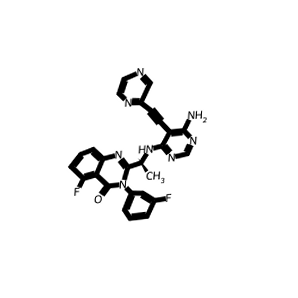 C[C@H](Nc1ncnc(N)c1C#Cc1cnccn1)c1nc2cccc(F)c2c(=O)n1-c1cccc(F)c1